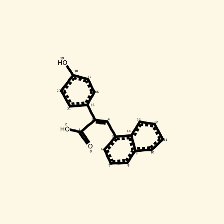 O=C(O)/C(=C\c1cccc2ccccc12)c1ccc(O)cc1